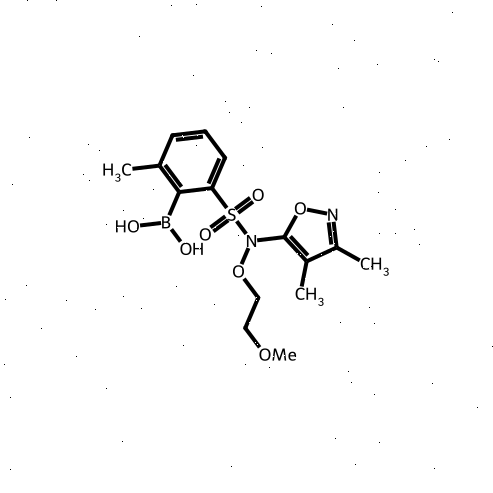 COCCON(c1onc(C)c1C)S(=O)(=O)c1cccc(C)c1B(O)O